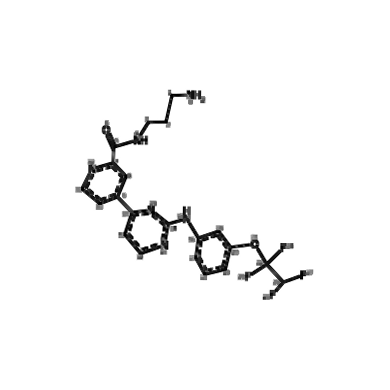 NCCCNC(=O)c1cc(-c2ccnc(Nc3cccc(OC(F)(F)C(F)F)c3)n2)ccn1